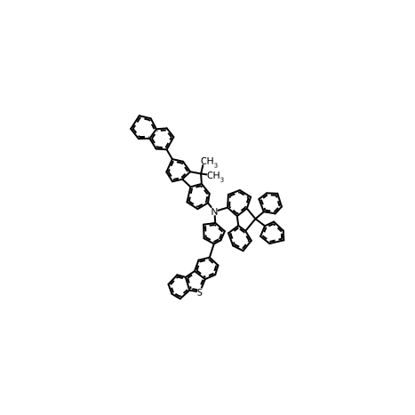 CC1(C)c2cc(-c3ccc4ccccc4c3)ccc2-c2ccc(N(c3ccc(-c4ccc5sc6ccccc6c5c4)cc3)c3cccc4c3-c3ccccc3C4(c3ccccc3)c3ccccc3)cc21